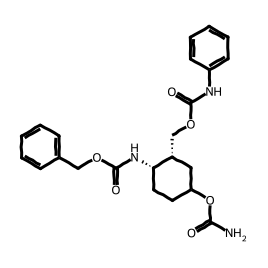 NC(=O)OC1CC[C@H](NC(=O)OCc2ccccc2)[C@H](COC(=O)Nc2ccccc2)C1